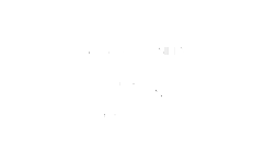 CC(=O)Nc1sc2cccc(Br)c2c1C#N